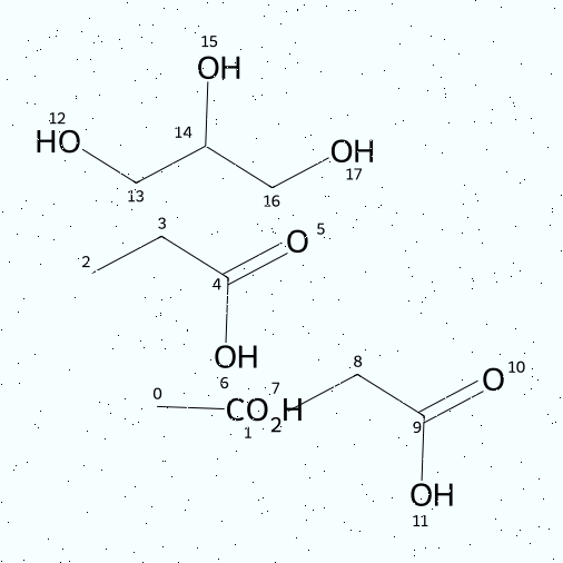 CC(=O)O.CCC(=O)O.CCC(=O)O.OCC(O)CO